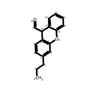 CCCc1ccc2c(c1)Oc1ccccc1C2C=O